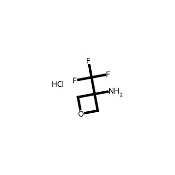 Cl.NC1(C(F)(F)F)COC1